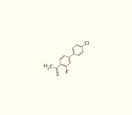 CC(=S)c1ccc(-c2ccc(Cl)cc2)cc1F